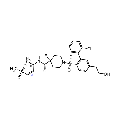 C[C@H](/C=C\S(C)(=O)=O)NC(=O)C1(F)CCN(S(=O)(=O)c2ccc(CCO)cc2-c2ccccc2Cl)CC1